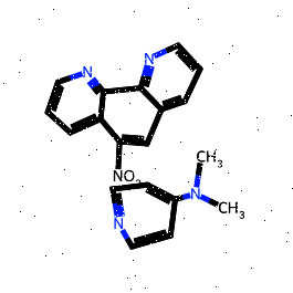 CN(C)c1ccncc1.O=[N+]([O-])c1cc2cccnc2c2ncccc12